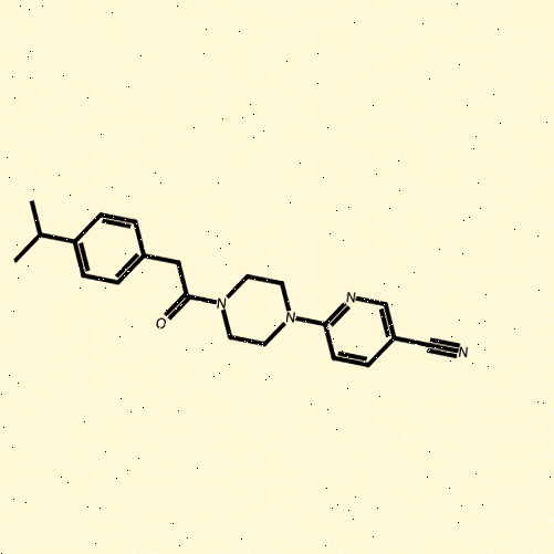 CC(C)c1ccc(CC(=O)N2CCN(c3ccc(C#N)cn3)CC2)cc1